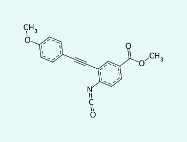 COC(=O)c1ccc(N=C=O)c(C#Cc2ccc(OC)cc2)c1